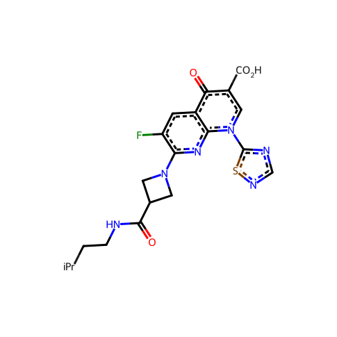 CC(C)CCNC(=O)C1CN(c2nc3c(cc2F)c(=O)c(C(=O)O)cn3-c2ncns2)C1